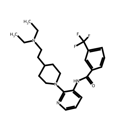 CCN(CC)CCC1CCN(c2ncccc2NC(=O)c2cccc(C(F)(F)F)c2)CC1